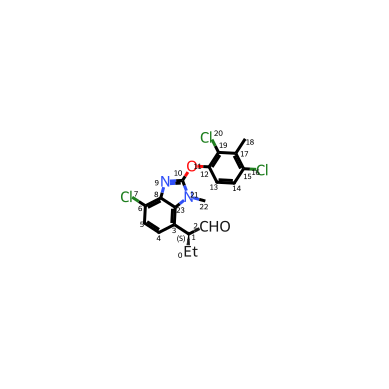 CC[C@H](C=O)c1ccc(Cl)c2nc(Oc3ccc(Cl)c(C)c3Cl)n(C)c12